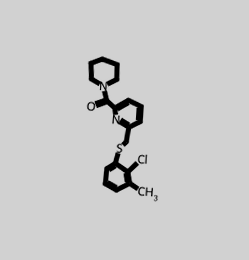 Cc1cccc(SCc2cccc(C(=O)N3CCCCC3)n2)c1Cl